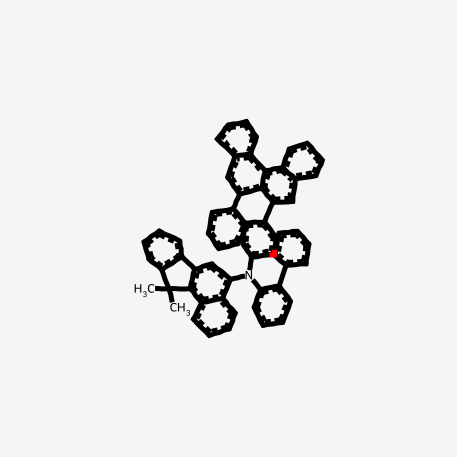 CC1(C)c2ccccc2-c2cc(N(c3ccc(-c4cc5ccccc5c5c4c(-c4ccccc4)cc4ccccc45)cc3)c3ccccc3-c3ccccc3)c3ccccc3c21